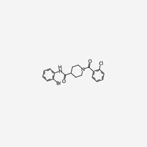 O=C(Nc1ccccc1Br)C1CCN(C(=O)c2ccccc2Cl)CC1